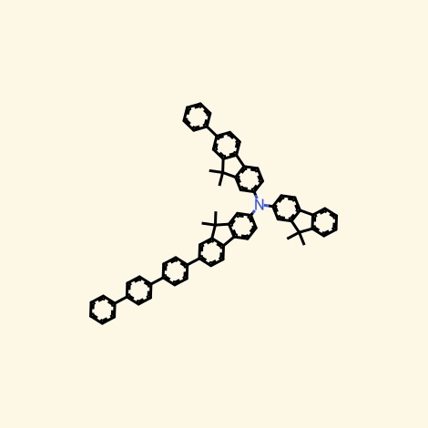 CC1(C)c2ccccc2-c2ccc(N(c3ccc4c(c3)C(C)(C)c3cc(-c5ccccc5)ccc3-4)c3ccc4c(c3)C(C)(C)c3cc(-c5ccc(-c6ccc(-c7ccccc7)cc6)cc5)ccc3-4)cc21